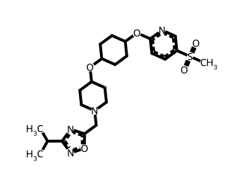 CC(C)c1noc(CN2CCC(OC3CCC(Oc4ccc(S(C)(=O)=O)cn4)CC3)CC2)n1